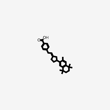 Cc1cc2c(cc1C1CC/C(=C\Cc3ccc(C(=O)O)cc3)C1)C(C)(C)CCC2(C)C